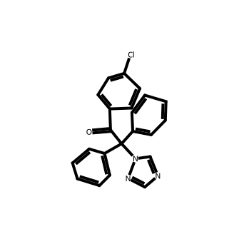 O=C(c1ccc(Cl)cc1)C(c1ccccc1)(c1ccccc1)n1cncn1